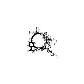 CCOC(=O)[C@@H]1C[C@@H]2CN1C(=O)[C@H](C(C)(C)C)NC(=O)OCC(C)(C)CCCc1ccc3c(I)cnc(c3c1)O2